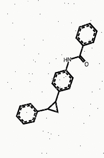 O=C(Nc1ccc(C2CC2c2ccccc2)cc1)c1ccccc1